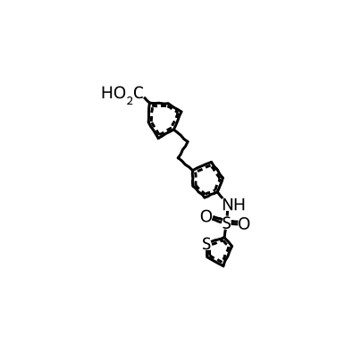 O=C(O)c1ccc(CCc2ccc(NS(=O)(=O)c3cccs3)cc2)cc1